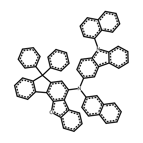 c1ccc(C2(c3ccccc3)c3ccccc3-c3c2cc(N(c2ccc4ccccc4c2)c2ccc4c(c2)c2ccccc2n4-c2cccc4ccccc24)c2c3oc3ccccc32)cc1